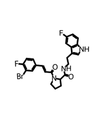 O=C(NCCc1c[nH]c2ccc(F)cc12)C1CCCN1C(=O)/C=C/c1ccc(F)c(Br)c1